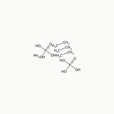 CC.CC.CC.O=P(O)(O)O.O=P(O)(O)O.P